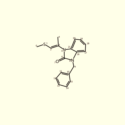 CSC=C(C)n1c(=O)n(Cc2ccccc2)c2ccccc21